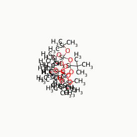 CC(C)(C)[Si](O[Si](O[Si](C)(C)C)(O[Si](C)(C)C)O[Si](C)(C)C)(O[Si](O[Si](C)(C)C)(O[Si](C)(C)C)O[Si](C)(C)C)O[Si](O[Si](C)(C)C)(O[Si](C)(C)C)O[Si](C)(C)C